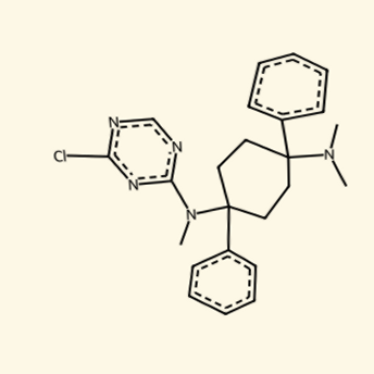 CN(C)C1(c2ccccc2)CCC(c2ccccc2)(N(C)c2ncnc(Cl)n2)CC1